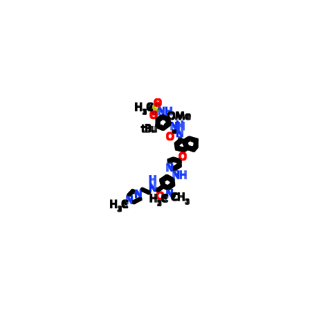 COc1c(NC(=O)Nc2ccc(Oc3ccnc(Nc4ccc(C(=O)NCCN5CCN(C)CC5)c(N(C)C)c4)c3)c3ccccc23)cc(C(C)(C)C)cc1NS(C)(=O)=O